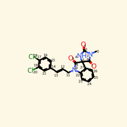 CN1C(=O)NC2(C1=O)C(=O)N(C/C=C/c1ccc(Cl)c(Cl)c1)c1ccccc12